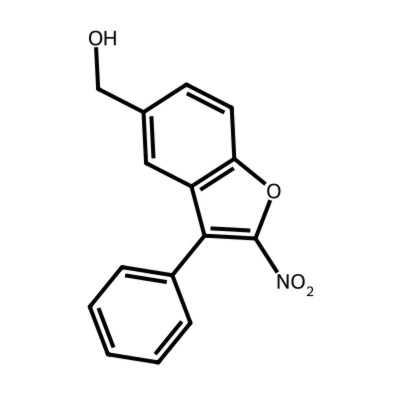 O=[N+]([O-])c1oc2ccc(CO)cc2c1-c1ccccc1